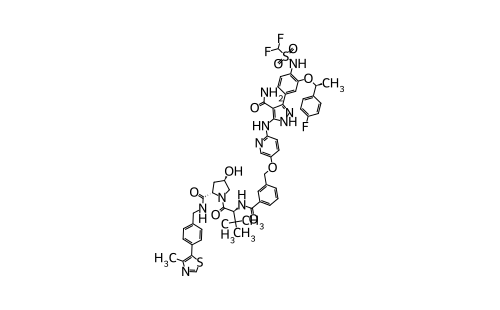 Cc1ncsc1-c1ccc(CNC(=O)[C@@H]2C[C@@H](O)CN2C(=O)[C@@H](NC(=O)c2cccc(COc3ccc(Nc4[nH]nc(-c5ccc(NS(=O)(=O)C(F)F)c(O[C@@H](C)c6ccc(F)cc6)c5)c4C(N)=O)nc3)c2)C(C)(C)C)cc1